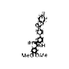 COc1ccc(-c2[nH]c3ccc(C4CCN(C(=O)CN5CCCN(C)CC5)CC4)cc3c2C(C)C)cc1OC